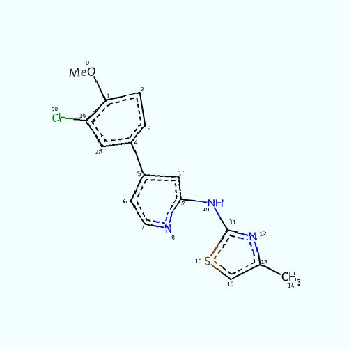 COc1ccc(-c2ccnc(Nc3nc(C)cs3)c2)cc1Cl